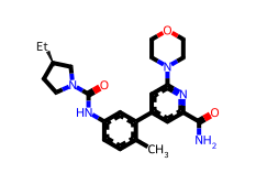 CC[C@@H]1CCN(C(=O)Nc2ccc(C)c(-c3cc(C(N)=O)nc(N4CCOCC4)c3)c2)C1